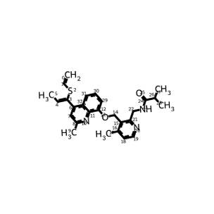 C=CS/C(=C\C)c1cc(C)nc2c(OCc3c(C)ccnc3CNC(=O)C(C)C)cccc12